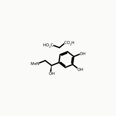 CNC[C@H](O)c1ccc(O)c(O)c1.O=C(O)CC(=O)O